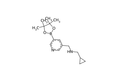 CC1(C)OB(c2cncc(CNCC3CC3)c2)OC1(C)C